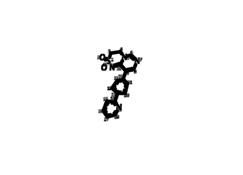 O=S1(=O)CCN2C=NC=C(c3ccc(-c4ccccn4)cc3)C2=N1